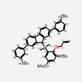 C=CCOc1c(C(C)(C)C)cc(OC)cc1[Si](C)(C)C1c2cc(-c3cccc(C(C)(C)C)c3)ccc2-c2ccc(-c3cccc(C(C)(C)C)c3)cc21